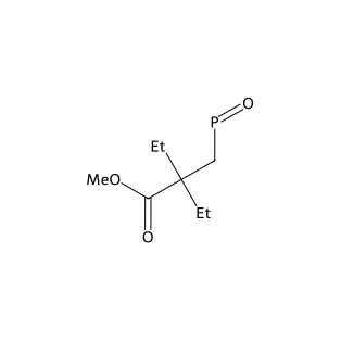 CCC(CC)(CP=O)C(=O)OC